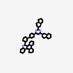 c1cc(-c2ccc(-c3cc(-c4ccc5ccccc5c4)nc(-c4ccc5ccccc5c4)n3)cc2)cc(-c2nc3ccccc3c3c4ccccc4c4ccccc4c23)c1